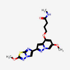 CNC(=O)CCCOc1cc(OC)cn2nc(-c3cn4nc(OC)sc4n3)cc12